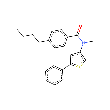 CCCCc1ccc(C(=O)N(C)c2csc(-c3ccccc3)c2)cc1